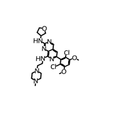 COc1cc(OC)c(Cl)c(-c2cc3cnc(NC4CCOC4)nc3c(NCCN3CCN(C)CC3)n2)c1Cl